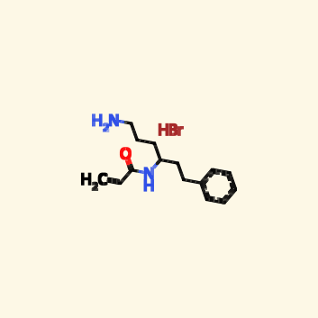 Br.C=CC(=O)NC(CCCN)CCc1ccccc1